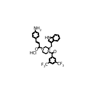 Cl.Nc1ccc(C=CC(=O)N2CCN(C(=O)c3cc(C(F)(F)F)cc(C(F)(F)F)c3)[C@H](Cc3c[nH]c4ccccc34)C2)cc1